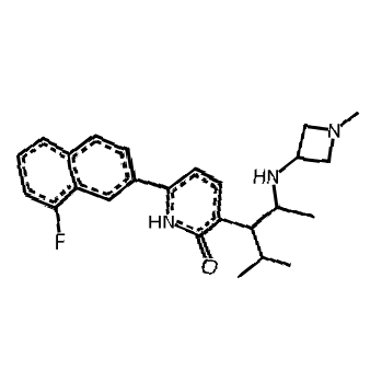 CC(C)C(c1ccc(-c2ccc3cccc(F)c3c2)[nH]c1=O)C(C)NC1CN(C)C1